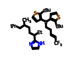 CC(C)(C)c1sccc1B(CCC=CC(F)(F)F)c1ccsc1C(C)(C)C.CCC(CCC(C)CC(C)C)c1ncc[nH]1